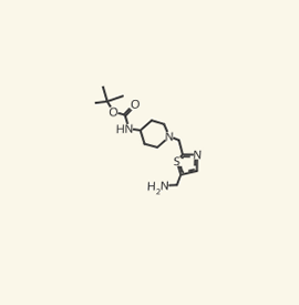 CC(C)(C)OC(=O)NC1CCN(Cc2ncc(CN)s2)CC1